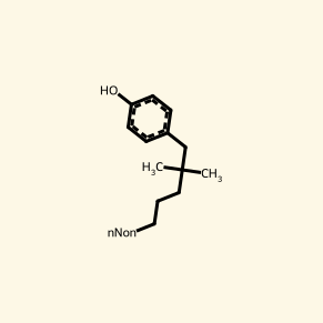 CCCCCCCCCCCCC(C)(C)Cc1ccc(O)cc1